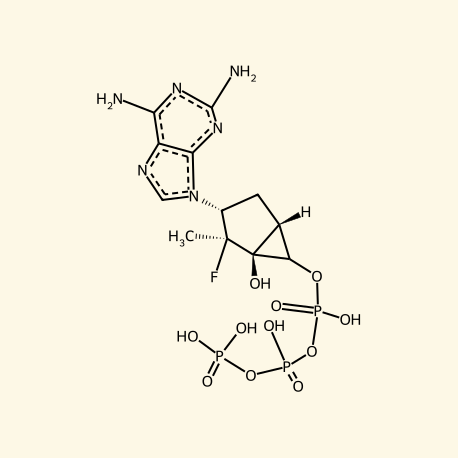 C[C@]1(F)[C@H](n2cnc3c(N)nc(N)nc32)C[C@@H]2C(OP(=O)(O)OP(=O)(O)OP(=O)(O)O)[C@@]21O